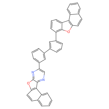 c1cc(-c2cccc(-c3cccc4c3oc3ccc5ccccc5c34)c2)cc(-c2cnc3c(n2)oc2ccc4ccccc4c23)c1